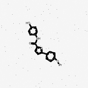 CC(C)Oc1ccc(-c2ccc(C(=O)Nc3ccc(O)cc3)s2)cc1